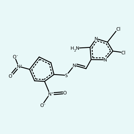 Nc1nc(Cl)c(Cl)nc1C=NSc1ccc([N+](=O)[O-])cc1[N+](=O)[O-]